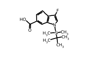 CC(C)(C)[Si](C)(C)n1cc(F)c2ccc(C(=O)O)cc21